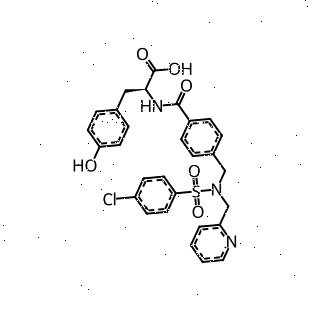 O=C(N[C@@H](Cc1ccc(O)cc1)C(=O)O)c1ccc(CN(Cc2ccccn2)S(=O)(=O)c2ccc(Cl)cc2)cc1